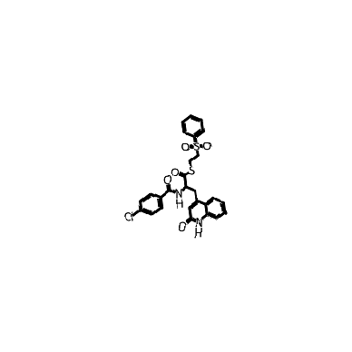 O=C(NC(Cc1cc(=O)[nH]c2ccccc12)C(=O)SCCS(=O)(=O)c1ccccc1)c1ccc(Cl)cc1